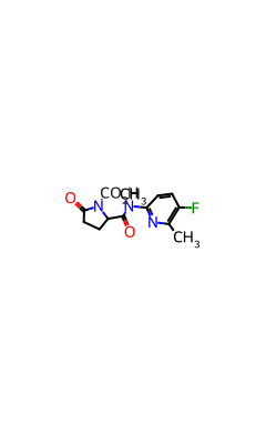 Cc1nc(N(C)C(=O)C2CCC(=O)N2C(=O)O)ccc1F